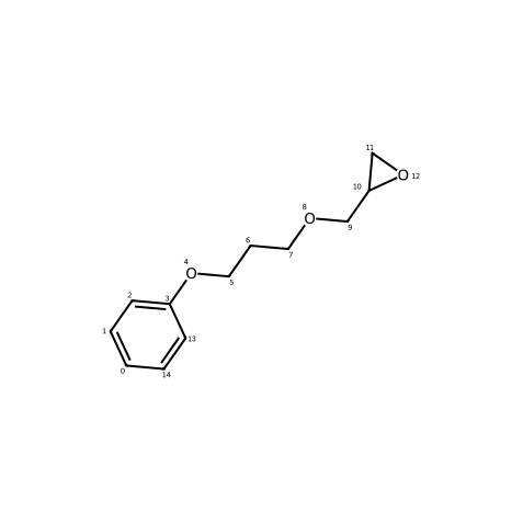 c1ccc(OCCCOCC2CO2)cc1